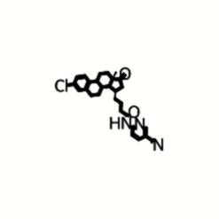 C[C@]12CCC3c4ccc(Cl)cc4CCC3C1[C@H](CCCC(=O)Nc1ccc(C#N)cn1)CC2=O